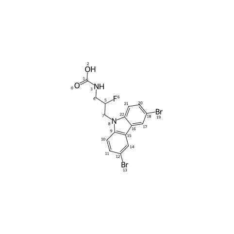 O=C(O)NCC(F)Cn1c2ccc(Br)cc2c2cc(Br)ccc21